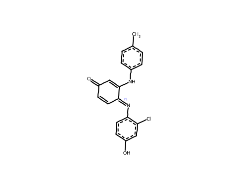 Cc1ccc(NC2=CC(=O)C=C/C2=N\c2ccc(O)cc2Cl)cc1